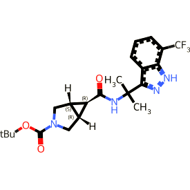 CC(C)(C)OC(=O)N1C[C@@H]2[C@H](C1)[C@H]2C(=O)NC(C)(C)c1n[nH]c2c(C(F)(F)F)cccc12